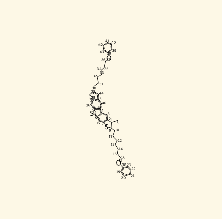 CC1c2cc3c(cc2SC1CCCCCCCOc1ccccc1)sc1cc2sc(CCCCCCCOc4ccccc4)cc2cc13